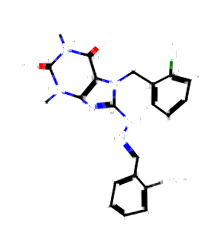 COc1ccccc1/C=N/Nc1nc2c(c(=O)n(C)c(=O)n2C)n1Cc1ccccc1Cl